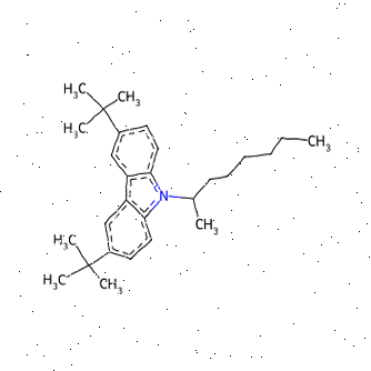 CCCCCCC(C)n1c2ccc(C(C)(C)C)cc2c2cc(C(C)(C)C)ccc21